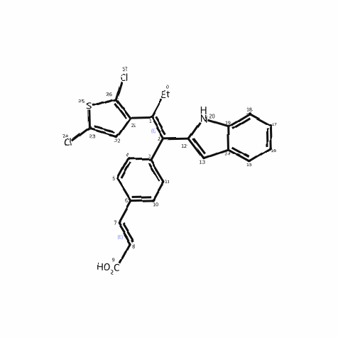 CC/C(=C(/c1ccc(/C=C/C(=O)O)cc1)c1cc2ccccc2[nH]1)c1cc(Cl)sc1Cl